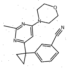 Cc1nc(N2CCOCC2)cc(C2(c3cccc(C#N)c3)CC2)n1